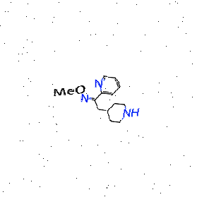 CO/N=C(/CC1CCNCC1)c1ccccn1